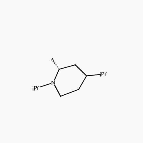 CC(C)C1CCN(C(C)C)[C@H](C)C1